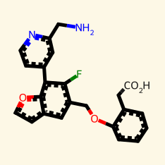 NCc1cc(-c2c(F)c(COc3ccccc3CC(=O)O)cc3ccoc23)ccn1